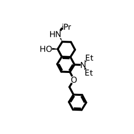 CCN(CC)c1c(OCc2ccccc2)ccc2c1CC[C@@H](NC(C)C)[C@@H]2O